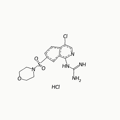 Cl.N=C(N)Nc1ncc(Cl)c2ccc(S(=O)(=O)N3CCOCC3)cc12